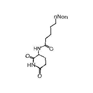 CCCCCCCCCCCCCC(=O)NC1CCC(=O)NC1=O